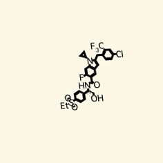 CCS(=O)(=O)c1ccc([C@H](CO)NC(=O)c2cc3cc(Cc4ccc(Cl)cc4C(F)(F)F)n(C4CC4)c3cc2F)cc1